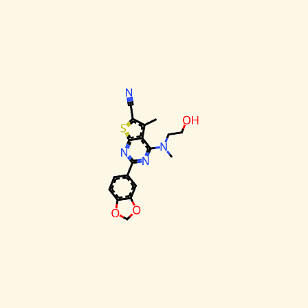 Cc1c(C#N)sc2nc(-c3ccc4c(c3)OCO4)nc(N(C)CCO)c12